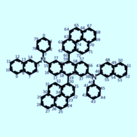 c1ccc(N(c2ccc3ccccc3c2)c2ccc3c(-c4ccc5ccc6cccc7ccc4c5c67)c4cc(N(c5ccccc5)c5ccc6ccccc6c5)ccc4c(-c4ccc5ccc6cccc7ccc4c5c67)c3c2)cc1